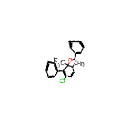 O=CC1C=CC(Cl)=C(c2ccccc2)C1(OCc1ccccc1)C(F)(F)F